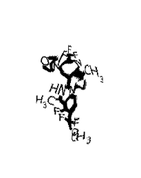 COCC(F)(F)c1cccc([C@@H](C)Nc2nnc(C)c3nc(C(F)(F)F)c(N4C5COCC4C5)cc23)c1F